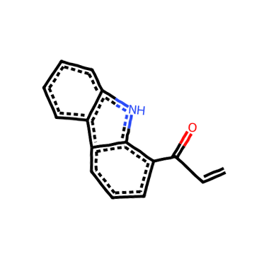 C=CC(=O)c1cccc2c1[nH]c1ccccc12